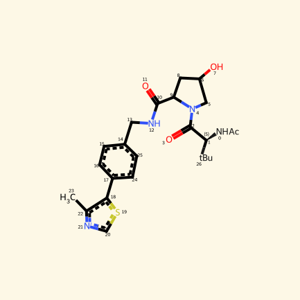 CC(=O)N[C@H](C(=O)N1CC(O)CC1C(=O)NCc1ccc(-c2scnc2C)cc1)C(C)(C)C